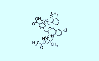 COc1cccc([C@H]2O[C@H](Cc3nc(C(=O)O)cs3)C(=O)N(CC(C)(C)COC(C)=O)c3ccc(Cl)cc32)c1OC